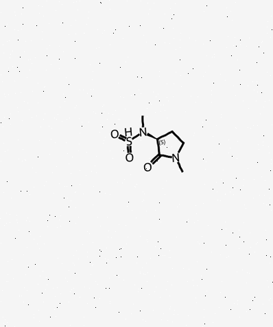 CN1CC[C@H](N(C)[SH](=O)=O)C1=O